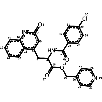 O=C(NC(Cc1cc(=O)[nH]c2ccccc12)C(=O)OCc1ccncc1)c1ccc(Cl)cc1